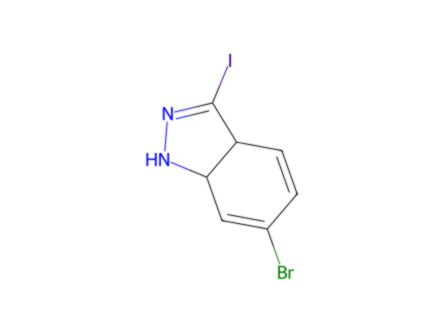 BrC1=CC2NN=C(I)C2C=C1